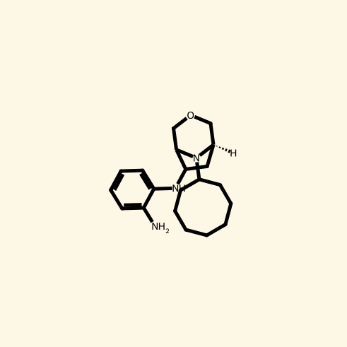 Nc1ccccc1NC1C[C@@H]2COCC1N2C1CCCCCCC1